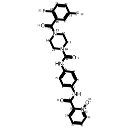 O=C(Nc1ccc(NC(=O)N2CCN(C(=O)c3cc(F)ccc3F)CC2)cc1)c1cccc[n+]1[O-]